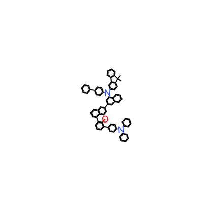 CC1(C)c2ccccc2-c2cc(N(c3ccc(-c4ccccc4)cc3)c3cc(-c4cc5c6c(cccc6c4)-c4cccc(-c6ccc(N(c7ccccc7)c7ccccc7)cc6)c4O5)cc4ccccc34)ccc21